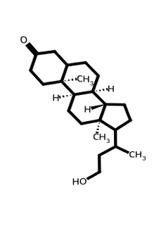 CC(CCO)C1CC[C@H]2[C@@H]3CCC4CC(=O)CC[C@]4(C)[C@@H]3CC[C@]12C